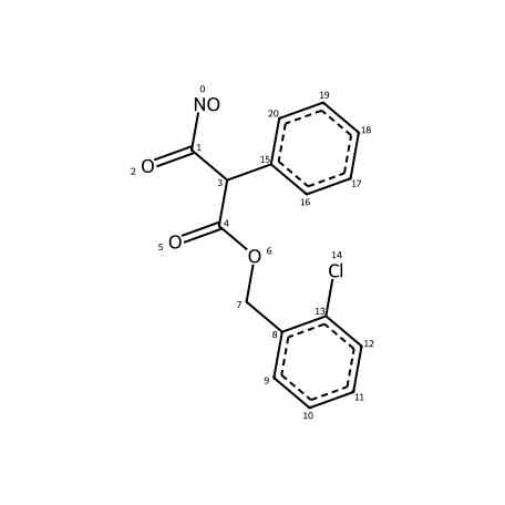 O=NC(=O)C(C(=O)OCc1ccccc1Cl)c1ccccc1